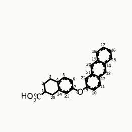 O=C(O)C1CCc2ccc(Oc3ccc4cc5ccccc5cc4c3)cc2C1